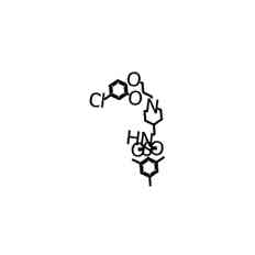 Cc1cc(C)c(S(=O)(=O)NCC2CCN(CC3COc4ccc(Cl)cc4O3)CC2)c(C)c1